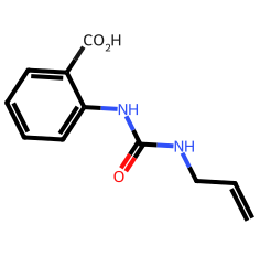 C=CCNC(=O)Nc1ccccc1C(=O)O